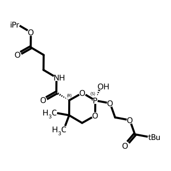 CC(C)OC(=O)CCNC(=O)[C@@H]1O[P@@](O)(OCOC(=O)C(C)(C)C)OCC1(C)C